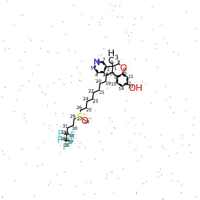 CC1(c2cccnc2)COc2cc(O)ccc2C1CCCCCCCCC[S+]([O-])CCCC(F)(F)C(F)(F)F